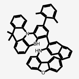 Cc1cccc(C)c1-c1cc(-c2cc3ccccc3cc2Nc2cccc3oc4ccccc4c23)c2c(c1)N1c3ccccc3C(C)(C)c3cccc(c31)B2